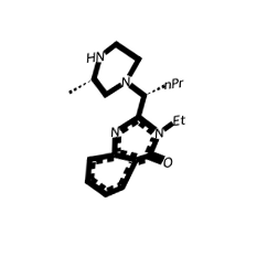 CCC[C@H](c1nc2ccccc2c(=O)n1CC)N1CCN[C@@H](C)C1